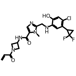 C=CC(=O)N1CC(NC(=O)c2cnc(CNc3cc(C4CC4(F)F)c(Cl)cc3O)n2C)C1